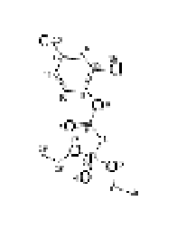 CCOP(=O)(CC(=O)Oc1ccc(Cl)cc1Cl)OCC